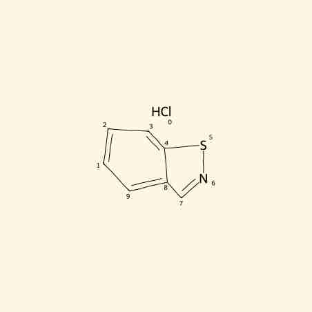 Cl.c1ccc2sncc2c1